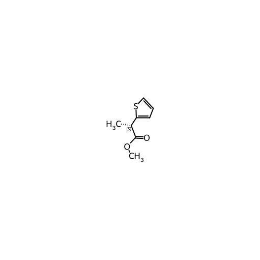 COC(=O)[C@H](C)c1cccs1